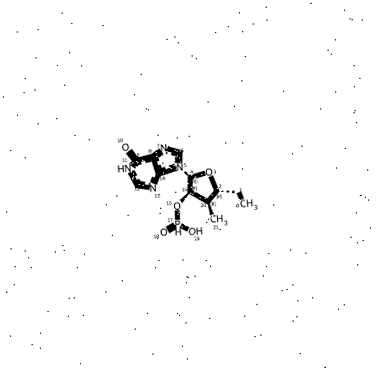 CC[C@H]1O[C@@H](n2cnc3c(=O)[nH]cnc32)[C@H](O[PH](=O)O)[C@@H]1C